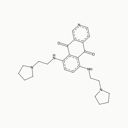 O=C1c2ccncc2C(=O)c2c(NCCN3CCCC3)ccc(NCCN3CCCC3)c21